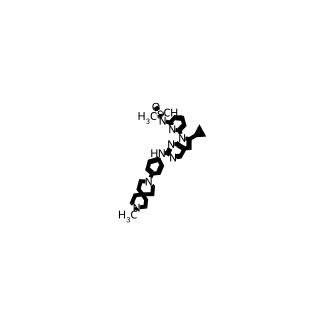 CN1CCC2(CC1)CCN(c1ccc(Nc3ncc4cc(C5CC5)n(-c5cccc(N=S(C)(C)=O)n5)c4n3)cc1)CC2